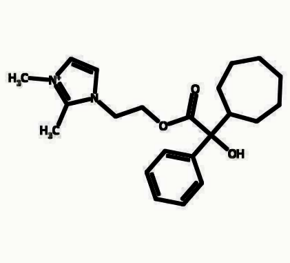 Cc1n(CCOC(=O)C(O)(c2ccccc2)C2CCCCCC2)cc[n+]1C